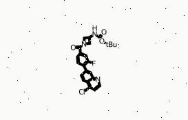 CC(C)(C)OC(=O)NC1CN(C(=O)c2ccc(-c3ccc4c(Cl)ccnc4c3)c(F)c2)C1